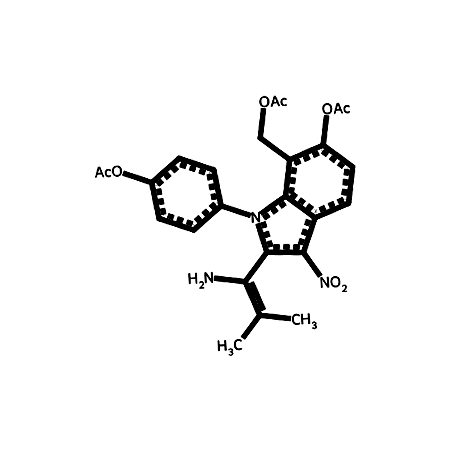 CC(=O)OCc1c(OC(C)=O)ccc2c([N+](=O)[O-])c(C(N)=C(C)C)n(-c3ccc(OC(C)=O)cc3)c12